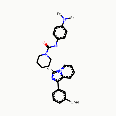 CCN(CC)c1ccc(NC(=O)N2CCC[C@@H](c3nc(-c4cccc(OC)c4)c4ccccn34)C2)cc1